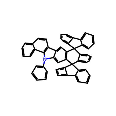 c1ccc(-n2c3cc4c(cc3c3ccc5ccccc5c32)C2(c3ccccc3-c3ccccc32)c2ccccc2C42c3ccccc3-c3ccccc32)cc1